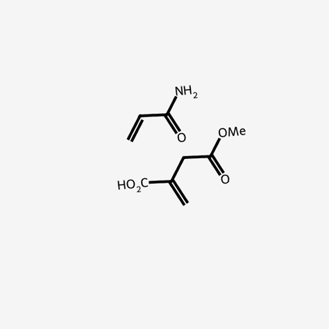 C=C(CC(=O)OC)C(=O)O.C=CC(N)=O